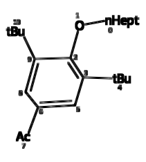 CCCCCCCOc1c(C(C)(C)C)cc(C(C)=O)cc1C(C)(C)C